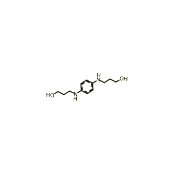 OCCCNc1ccc(NCCCO)cc1